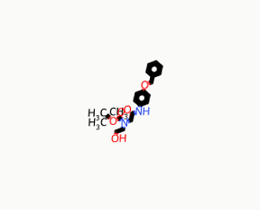 CC(C)(C)OC(=O)N(CCO)CC(=O)Nc1ccc(OCc2ccccc2)cc1